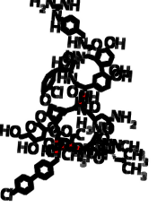 CN[C@H](CC(C)C)C(=O)N[C@H]1C(=O)NC(CC(N)=O)C(=O)N[C@H]2C(=O)N[C@H]3C(=O)N[C@H](C(=O)N[C@H](C(=O)NCc4ccc(NC(=N)N)cc4)C4=CC(O)CC(O)=C4C4CC3=CC=C4O)[C@H](O)C3=CC=C(Oc4cc2cc(c4O[C@H]2OC(CO)C(O)[C@H](O)C2O[C@H]2CC(C)(NCc4ccc(-c5ccc(Cl)cc5)cc4)[C@H](O)C(C)O2)OC2=C(Cl)C=C(CC2)[C@H]1O)C(Cl)C3